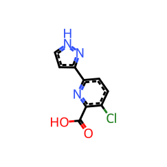 O=C(O)c1nc(-c2cc[nH]n2)ccc1Cl